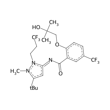 Cn1c(C(C)(C)C)c/c(=N\C(=O)c2cc(C(F)(F)F)ccc2OCC(C)(C)O)n1CCC(F)(F)F